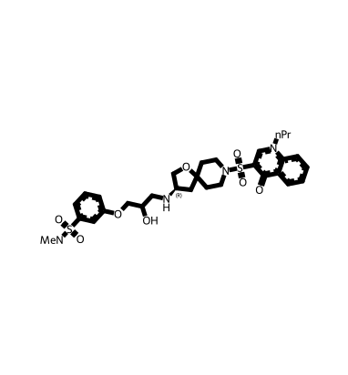 CCCn1cc(S(=O)(=O)N2CCC3(CC2)C[C@@H](NCC(O)COc2cccc(S(=O)(=O)NC)c2)CO3)c(=O)c2ccccc21